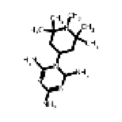 CN1C(C)(C)CC(N2C(N)=NC(N)=NC2N)CC1(C)C